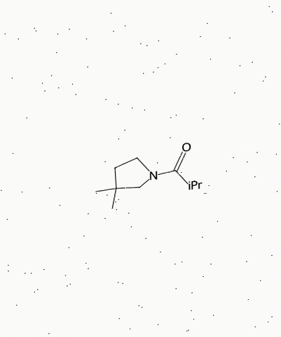 CC(C)C(=O)N1CCC(C)(C)C1